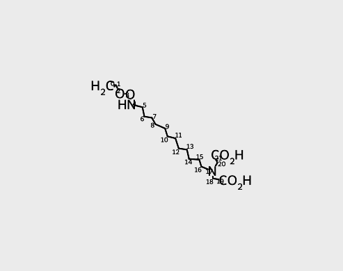 C=COONCCCCCCCCCCCCN(CC(=O)O)CC(=O)O